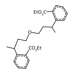 CCOC(=O)c1ccccc1C(C)CCOCCC(C)c1ccccc1C(=O)OCC